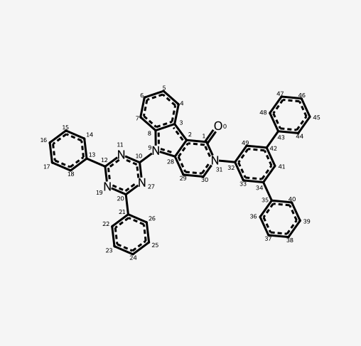 O=c1c2c3ccccc3n(-c3nc(-c4ccccc4)nc(-c4ccccc4)n3)c2ccn1-c1cc(-c2ccccc2)cc(-c2ccccc2)c1